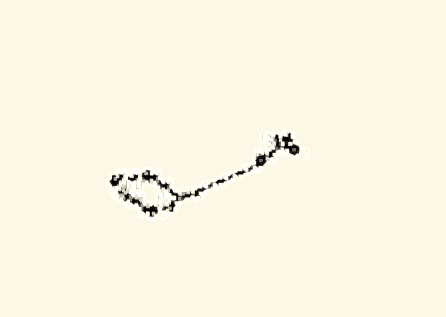 CC(=N)N1C(=N)[C@@H](CCC(=O)Nc2ccc(OCCOCCOCCOCCOCCOCCC(=O)NCCCN(C)CCCNC(=O)CCNC(=O)c3nc(NC(=O)CCNC(=O)c4c(NC(=O)c5nc(NC(=O)CCNC(=O)c6cc(NC(=O)c7nccn7C)cn6C)cn5C)ccn4C)cn3C)cc2)N=C(c2ccc(Cl)cc2)c2c1sc(C)c2C